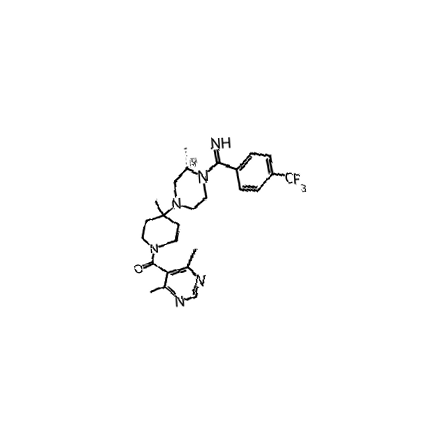 Cc1ncnc(C)c1C(=O)N1CCC(C)(N2CCN(C(=N)c3ccc(C(F)(F)F)cc3)[C@@H](C)C2)CC1